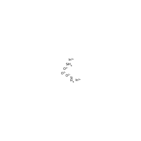 [In+3].[In+3].[O-2].[O-2].[O-2].[SiH4].[SiH4]